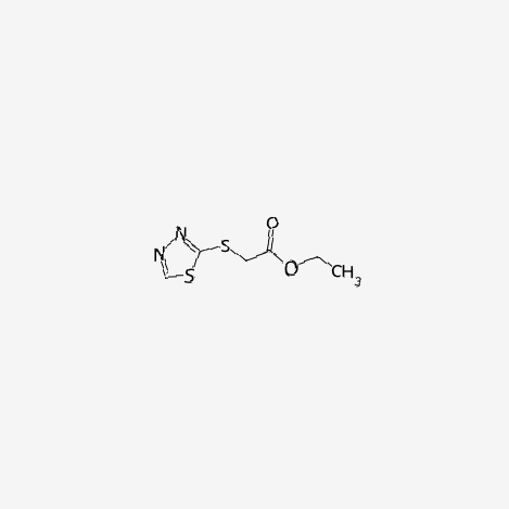 CCOC(=O)CSc1nncs1